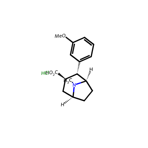 COc1cccc([C@@H]2[C@H]3CC[C@@H](C[C@H]2C(=O)O)N3C)c1.Cl